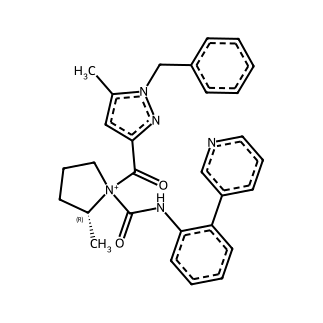 Cc1cc(C(=O)[N+]2(C(=O)Nc3ccccc3-c3cccnc3)CCC[C@H]2C)nn1Cc1ccccc1